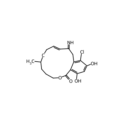 CC1CC/C=C/C(=N)Cc2c(Cl)c(O)cc(O)c2C(=O)OCCC1